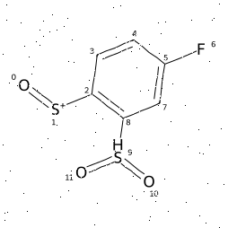 O=[S+]c1ccc(F)cc1[SH](=O)=O